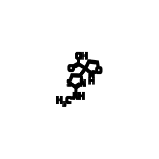 CNc1nc(C2(C(=O)O)C=CON2)cs1